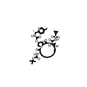 C[C@@H](NC(=O)O[C@@H]1C[C@H]2C(=O)N[C@]3(C(=O)NS(=O)(=O)C4CC4)C[C@H]3/C=C\CCCCC[C@H](NC(=O)OC(C)(C)C)C(=O)N2C1)c1ccc(F)cn1